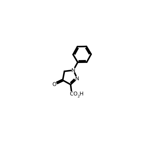 O=C(O)C1=NN(c2ccccc2)CC1=O